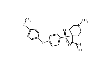 CN1CCC(C(=O)NO)(S(=O)(=O)c2ccc(Oc3ccc(OC(F)(F)F)cc3)cc2)CC1